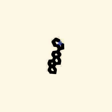 c1ccn2ccc(-c3ccc4c(ccc5c6c(ccc54)CCCC6)c3)c2c1